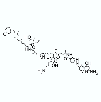 C/C=C/[C@@H]1O[C@H]([C@@H](/C=C/C=C(\C)C[C@@H](C)/C=C(C)\C=C\[C@H]2CC=CC(=O)O2)NC(=O)OCCc2cn(CCC[C@H](NC(=O)CC[C@@H](C)NC(=O)c3ccc(NCc4cnc5nc(N)nc(O)c5n4)cc3)C(=O)N[C@H](CCCCN)C(=O)O)nn2)C[C@@H](O)[C@@H]1C